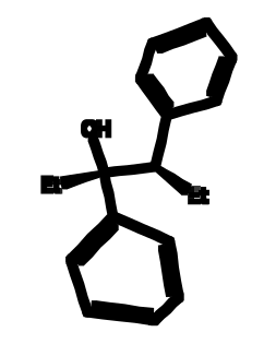 CC[C@H](c1ccccc1)[C@](O)(CC)c1ccccc1